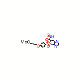 COCCCCOc1ccc(S(=O)(=O)N2Cc3nccnc3CC2C(=O)NO)cc1